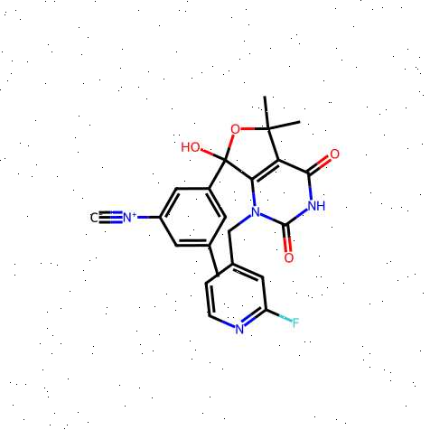 [C-]#[N+]c1cc(C)cc(C2(O)OC(C)(C)c3c2n(Cc2ccnc(F)c2)c(=O)[nH]c3=O)c1